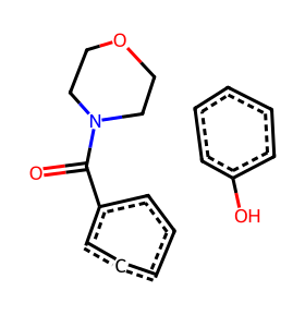 O=C(c1ccccc1)N1CCOCC1.Oc1ccccc1